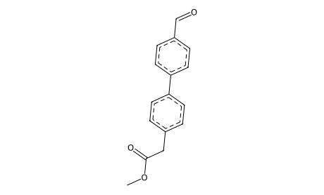 COC(=O)Cc1ccc(-c2ccc(C=O)cc2)cc1